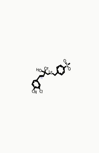 CS(=O)(=O)c1ccc(CSCC(O)(/C=C/c2ccc(C#N)c(Cl)c2)C(F)(F)F)cc1